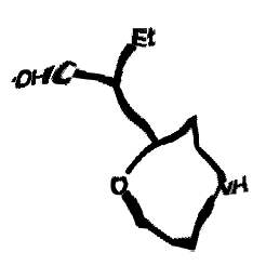 CCC([C]=O)C1CNCCO1